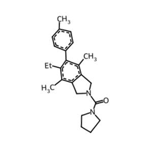 CCc1c(C)c2c(c(C)c1-c1ccc(C)cc1)CN(C(=O)N1CCCC1)C2